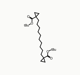 CC(C)(C)OC(=O)C1(CCCCCCCCCCC2(C(=O)OC(C)(C)C)CC2)CC1